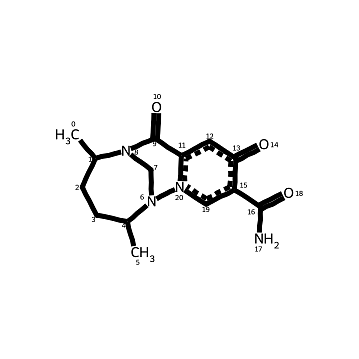 CC1CCC(C)N2CN1C(=O)c1cc(=O)c(C(N)=O)cn12